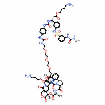 CCCNC(=O)Nc1cccc(S(=O)(=O)Nc2cccc([C@@H](CC(=O)OCCCCN)NC(=O)Nc3ccc(NC(=O)NCCOCCOCCOCCC(=O)N[C@@H](CC(=O)OCCCCN)C(=O)N4CCC[C@H]4C(=O)N[C@H](C(=O)O[C@]4(CC)C(=O)OCc5c4cc4n(c5=O)Cc5c-4nc4ccccc4c5CC)C(C)C)cc3)c2)c1